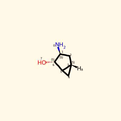 N[C@H]1C[C@@H]2CC2[C@@H]1O